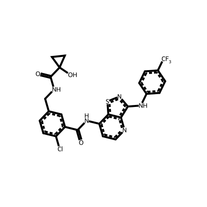 O=C(Nc1ccnc2c(Nc3ccc(C(F)(F)F)cc3)nsc12)c1cc(CNC(=O)C2(O)CC2)ccc1Cl